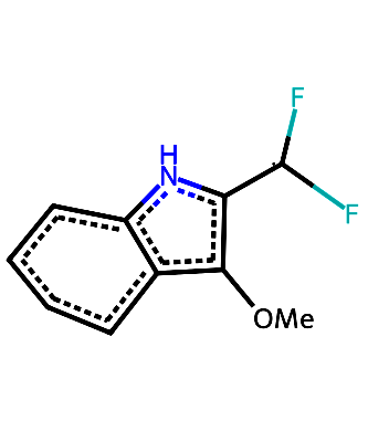 COc1c([C](F)F)[nH]c2ccccc12